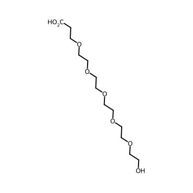 O=C(O)CCOCCOCCOCCOCCOCCO